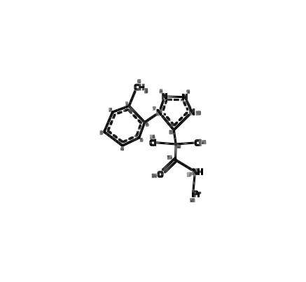 Cc1ccccc1-n1nnnc1C(Cl)(Cl)C(=O)NC(C)C